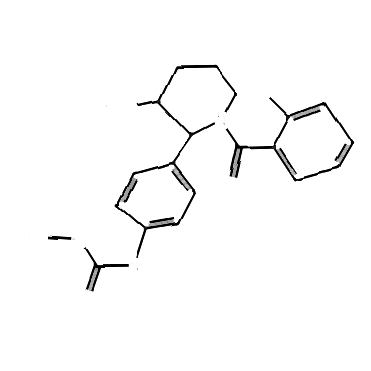 CCOC(=O)C1CCCN(C(=O)c2ccccc2C)C1c1ccc(NC(=O)OC(C)(C)C)cc1